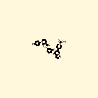 O=C(Nc1ccc(Oc2cc(C3CCN(C(=O)O)CC3)cn3nccc23)c(F)c1)c1cccn(-c2ccc(F)cc2)c1=O